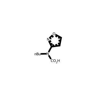 CCCCN(C(=O)O)c1ccon1